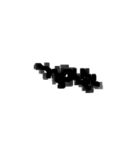 C=C(CCC)Cc1csc2cc(CCC(=C/C)/C(N)=N\CC)ccc12